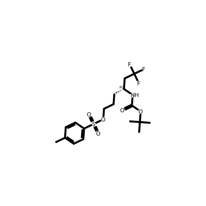 Cc1ccc(S(=O)(=O)OCCC[C@H](CC(F)(F)F)NC(=O)OC(C)(C)C)cc1